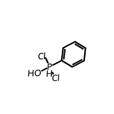 O[PH](Cl)(Cl)c1ccccc1